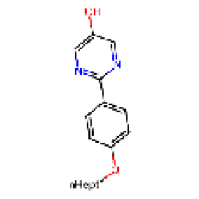 CCCCCCCOc1ccc(-c2ncc(O)cn2)cc1